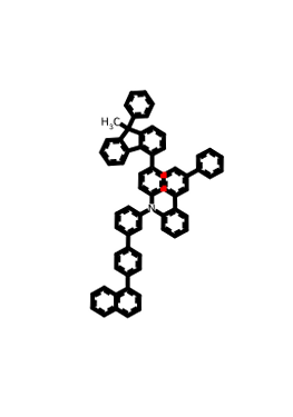 CC1(c2ccccc2)c2ccccc2-c2c(-c3ccc(N(c4cccc(-c5ccc(-c6cccc7ccccc67)cc5)c4)c4ccccc4-c4cccc(-c5ccccc5)c4)cc3)cccc21